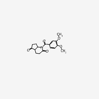 COc1ccc(C(=O)N2C(=O)CCC3C(=O)CCC32)cc1OC